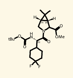 COC(=O)C1[C@@H]2[C@H](CN1C(=O)[C@@H](NC(=O)OC(C)(C)C)C1CCC(F)(F)CC1)C2(C)C